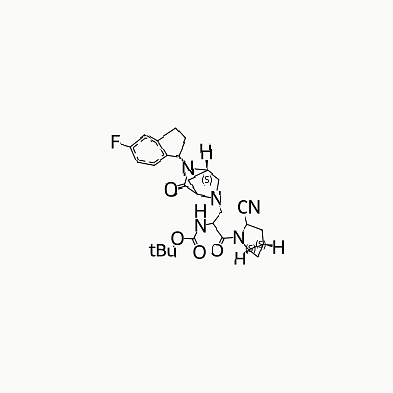 CC(C)(C)OC(=O)NC(CN1C[C@@H]2CC1C(=O)N2C1CCc2cc(F)ccc21)C(=O)N1C(C#N)C[C@@H]2C[C@@H]21